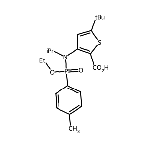 CCOP(=O)(c1ccc(C)cc1)N(c1cc(C(C)(C)C)sc1C(=O)O)C(C)C